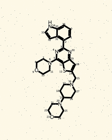 c1cc(-c2nc(N3CCOCC3)c3sc(CN4CCC(N5CCOCC5)CC4)cc3n2)c2cc[nH]c2c1